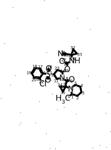 CC1CCCCN1C1(C(=O)N2C[C@H](S(=O)(=O)c3ccccc3Cl)C[C@@H]2OC(=O)NC2(C#N)CC2)CC1